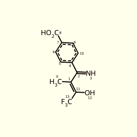 C/C(C(=N)c1ccc(C(=O)O)cc1)=C(/O)C(F)(F)F